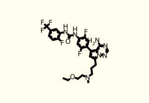 CCOCCN(C)CCCc1cc(-c2cc(F)c(NC(=O)Nc3cc(C(F)(F)F)ccc3F)cc2F)c2c(N)ncnn12